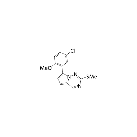 COc1ccc(Cl)cc1-c1ccc2cnc(SC)nn12